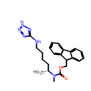 CN(C(=O)OCC1c2ccccc2-c2ccccc21)[C@@H](CCCCNc1nn[nH]n1)C(=O)O